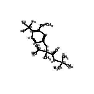 COc1cc(C[C@@](C)(C(=O)O)C(=O)OC(C)(C)C)cnc1C(F)(F)F